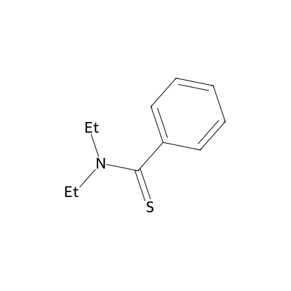 CCN(CC)C(=S)c1ccccc1